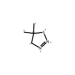 CC1(C)CN=NS1